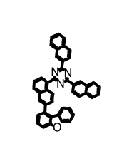 c1ccc2cc(-c3nc(-c4ccc5ccccc5c4)nc(-c4cccc5cc(-c6cccc7oc8ccccc8c67)ccc45)n3)ccc2c1